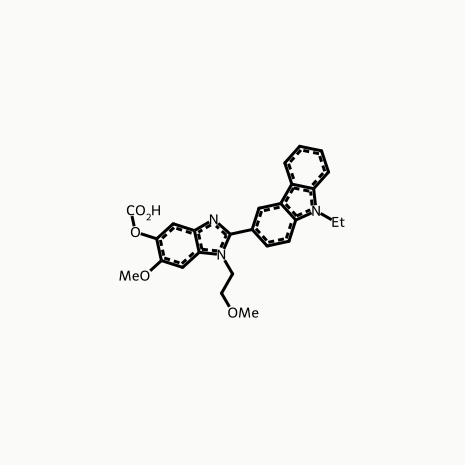 CCn1c2ccccc2c2cc(-c3nc4cc(OC(=O)O)c(OC)cc4n3CCOC)ccc21